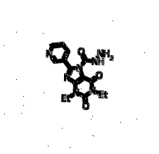 CCn1c(=O)c2c(nc(-c3cc[c]nc3)n2C(=O)NN)n(CC)c1=O